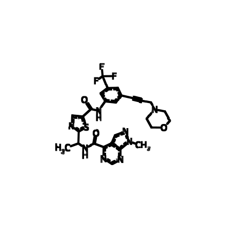 CC(NC(=O)c1ncnc2c1cnn2C)c1ncc(C(=O)Nc2cc(C#CCN3CCOCC3)cc(C(F)(F)F)c2)s1